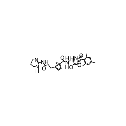 Cc1cc(C)c(S(=O)(=O)N[C@@H](CNC(=O)c2ccc(CCC(=O)NC3=NCCCN3)s2)C(=O)O)c(C)c1